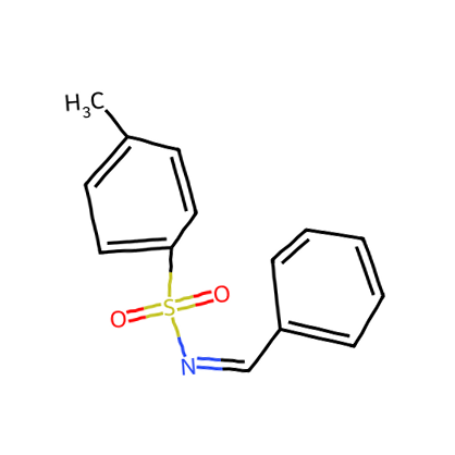 Cc1ccc(S(=O)(=O)/N=C\c2ccccc2)cc1